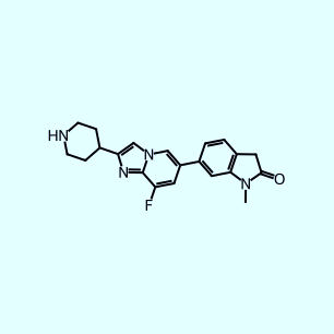 CN1C(=O)Cc2ccc(-c3cc(F)c4nc(C5CCNCC5)cn4c3)cc21